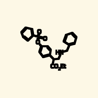 CCOC(=O)C(CNCc1ccccc1)c1ccc(OS(=O)(=O)c2ccccc2)cc1